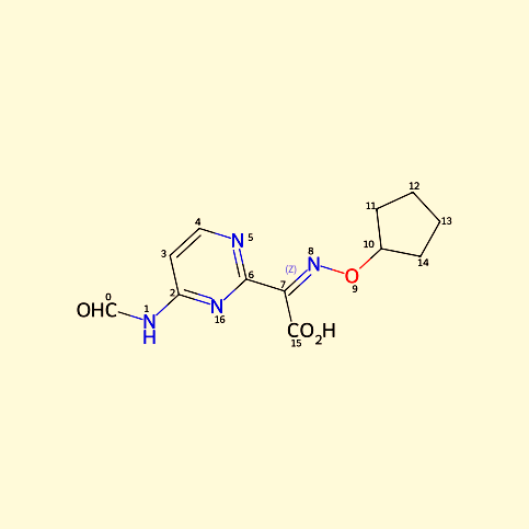 O=CNc1ccnc(/C(=N/OC2CCCC2)C(=O)O)n1